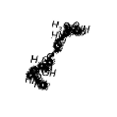 Cc1c(OCC[C@H]2CC23CCN(CC(=O)Nc2ccc4c([C@H]5CCC(=O)NC5=O)nn(C)c4c2)CC3)cccc1-c1ccc(N2CCc3cccc(C(=O)Nc4nc5ccccc5s4)c3C2)nc1C(=O)O